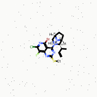 C=CC(C)[C@H]1[C@@H]2CC[C@H](CN1c1nc(SCC)nc3c(F)c(Cl)nc(Br)c13)N2C(=O)O